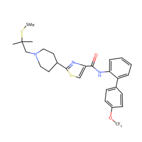 CSSC(C)(C)CN1CCC(c2nc(C(=O)Nc3ccccc3-c3ccc(OC(F)(F)F)cc3)cs2)CC1